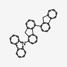 c1ccc2c(c1)Cc1c-2cccc1-c1cccc2c1-c1cccc(-n3c4ccccc4c4ccccc43)c1C2